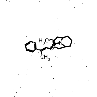 CCC(=O)N1C2CCCC1CN(C/C=C(\C)c1ccccc1)CC2